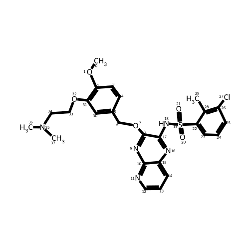 COc1ccc(COc2nc3ncccc3nc2NS(=O)(=O)c2cccc(Cl)c2C)cc1OCCN(C)C